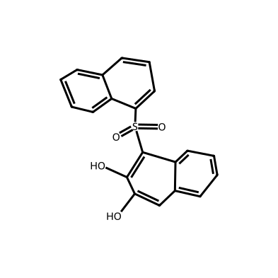 O=S(=O)(c1cccc2ccccc12)c1c(O)c(O)cc2ccccc12